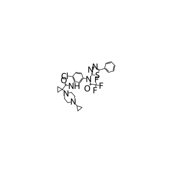 O=C(N(c1ccc(Cl)c(NC(=O)C2(N3CCN(C4CC4)CC3)CC2)c1)c1nnc(-c2ccccc2)s1)C(F)(F)F